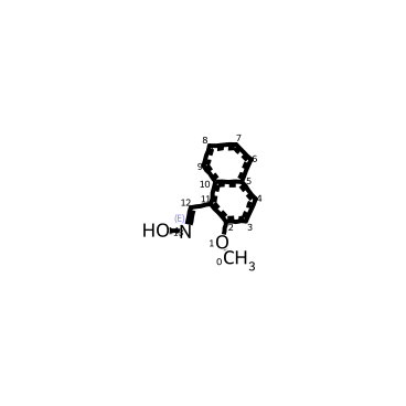 COc1ccc2ccccc2c1/C=N/O